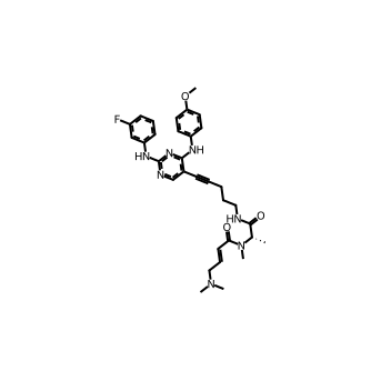 COc1ccc(Nc2nc(Nc3cccc(F)c3)ncc2C#CCCCNC(=O)[C@H](C)N(C)C(=O)/C=C/CN(C)C)cc1